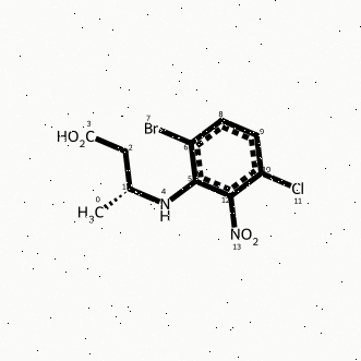 C[C@H](CC(=O)O)Nc1c(Br)ccc(Cl)c1[N+](=O)[O-]